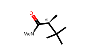 CNC(=O)[C@@H](C)C(C)(C)C